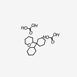 C1CCC(C2(C3CCCCO3)CCCCC2)CC1.O=C(O)O.O=C(O)O